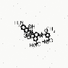 COc1ccc(C(=O)O)cc1N=Nc1ccc(N=Nc2c(S(=O)(=O)O)cc3ccc(N)cc3c2O)c2ccc(C(=O)O)cc12